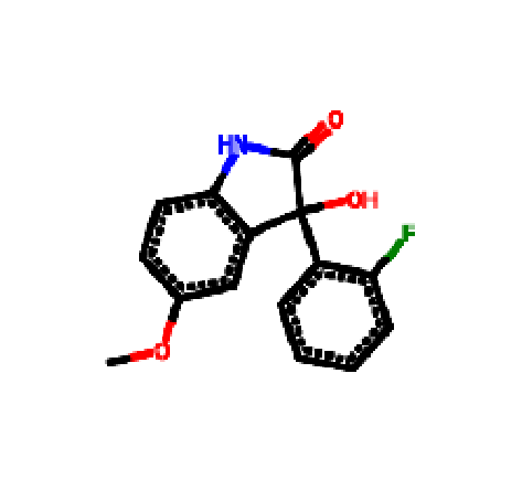 COc1ccc2c(c1)C(O)(c1ccccc1F)C(=O)N2